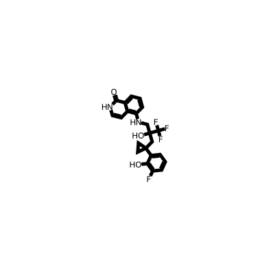 O=c1[nH]ccc2c(NCC(O)(CC3(c4cccc(F)c4O)CC3)C(F)(F)F)cccc12